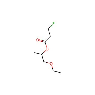 CCOCC(C)OC(=O)CCF